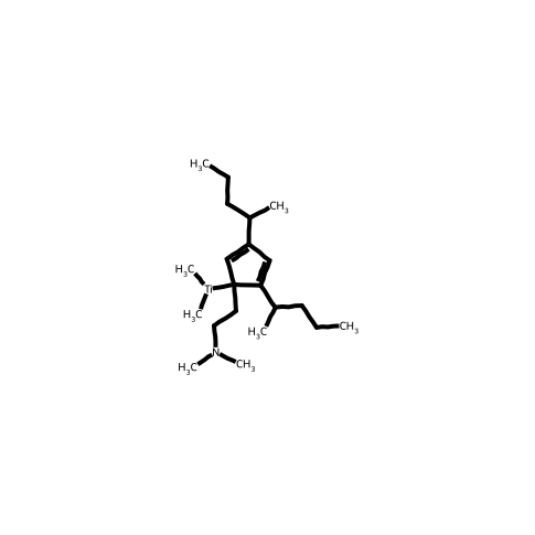 CCCC(C)C1=C[C](CCN(C)C)([Ti]([CH3])[CH3])C(C(C)CCC)=C1